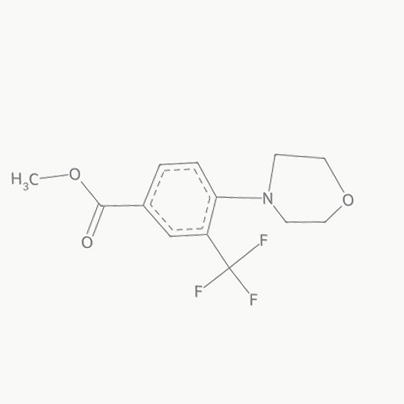 COC(=O)c1ccc(N2CCOCC2)c(C(F)(F)F)c1